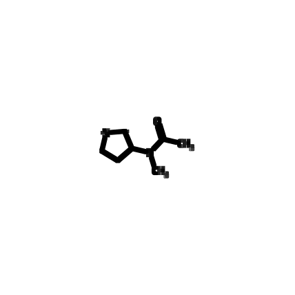 CC(=O)N(C)C1[CH][N]CC1